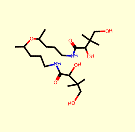 CC(CCCNC(=O)C(O)C(C)(C)CO)OC(C)CCCNC(=O)C(O)C(C)(C)CO